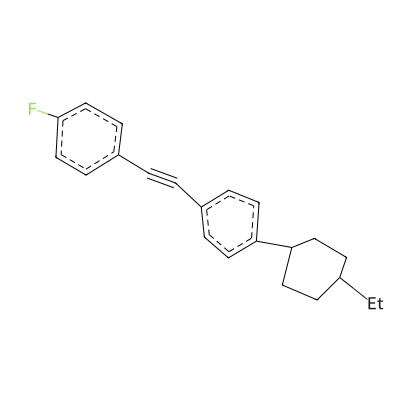 CCC1CCC(c2ccc(C#Cc3ccc(F)cc3)cc2)CC1